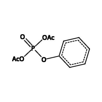 CC(=O)OP(=O)(OC(C)=O)Oc1ccccc1